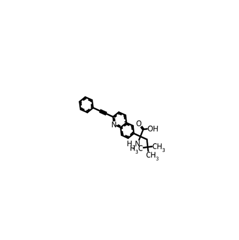 CC(C)(C)CC(N)(C(=O)O)c1ccc2nc(C#Cc3ccccc3)ccc2c1